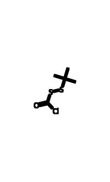 CC(C)(C)SSC(=O)Cl